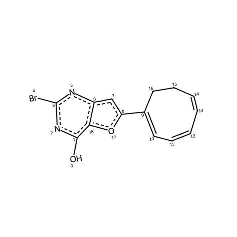 Oc1nc(Br)nc2cc(/C3=C/C=C\C=C/CC3)oc12